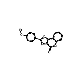 CCOc1ccc(-c2nc3c(=O)[nH]c4ccccc4c3o2)cc1